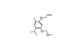 C=CCOc1cc(OCOC)c(C(C)C)cc1C